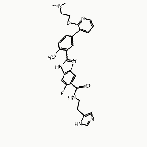 CN(C)CCOc1ncccc1-c1ccc(O)c(-c2nc3cc(C(=O)NCCc4cnc[nH]4)c(F)cc3[nH]2)c1